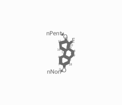 CCCCCCCCCOc1ccc2c(ccc3c(F)c(OCCCCC)ccc32)c1